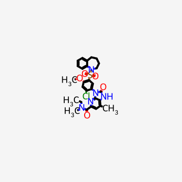 CCN(C)C(=O)c1cc(C)c2[nH]c(=O)n(-c3cc(S(=O)(=O)N4CCCCc5ccccc54)c(OC)cc3Cl)c2n1